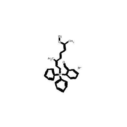 CCOC(C)=CC=CC(C)=CC[P+](c1ccccc1)(c1ccccc1)C1C=CC=CC1=C=O.[Br-]